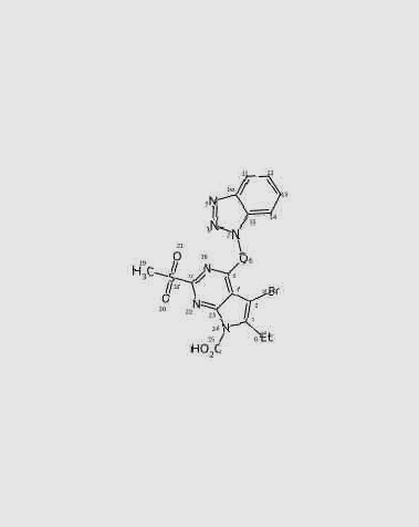 CCc1c(Br)c2c(On3nnc4ccccc43)nc(S(C)(=O)=O)nc2n1C(=O)O